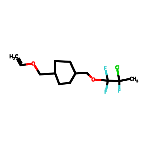 C=COCC1CCC(COC(F)(F)C(C)(F)Cl)CC1